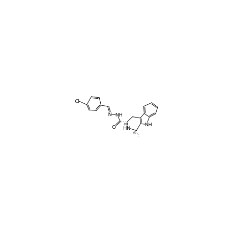 C[C@@H]1N[C@H](C(=O)NN=Cc2ccc(Cl)cc2)Cc2c1[nH]c1ccccc21